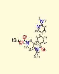 CN(C)c1ccc(-c2ccc(C(=O)N(C3CC3)C3CCN(C(=O)OC(C)(C)C)CC3)cc2)cn1